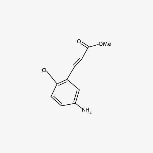 COC(=O)C=Cc1cc(N)ccc1Cl